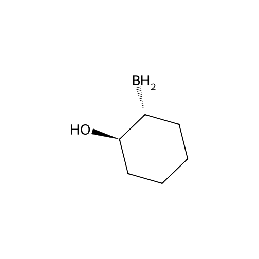 B[C@@H]1CCCC[C@H]1O